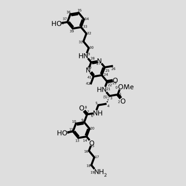 COC(=O)[C@H](CCNC(=O)c1cc(O)cc(OCCCN)c1)NC(=O)c1c(C)nc(NCCCc2cccc(O)c2)nc1C